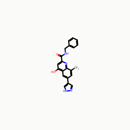 O=C(NCc1ccccc1)c1cc(O)c2cc(-c3cn[nH]c3)cc(C(F)(F)F)c2n1